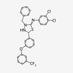 FC(F)(F)c1cccc(Oc2cccc(C3NN(Cc4c[c]ccc4)C(=Nc4ccc(Cl)c(Cl)c4)S3)c2)c1